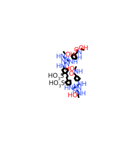 CC(O)NC(=O)c1ccc(Nc2nc(Nc3ccc(C=Cc4ccc(Nc5nc(Nc6ccc(C(=O)NC(C)O)cc6)nc(NC(C)O)n5)cc4S(=O)(=O)O)c(S(=O)(=O)O)c3)nc(NC(C)O)n2)cc1